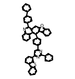 c1ccc(-c2ccc(-c3nc4ccccc4c4c(-c5ccc(-c6cc(-c7cccc8c7sc7ccccc78)nc(-c7ccccc7)n6)cc5)c5c(cc34)oc3ccccc35)cc2)cc1